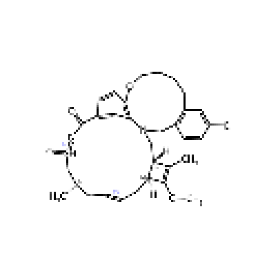 COC1=C(C)[C@H]2CN3Cc4ccc(Cl)cc4CCCCOc4ccc(cc43)C(=O)/N=[SH](=O)\C[C@@H](C)C/C=C/C[C@H]12